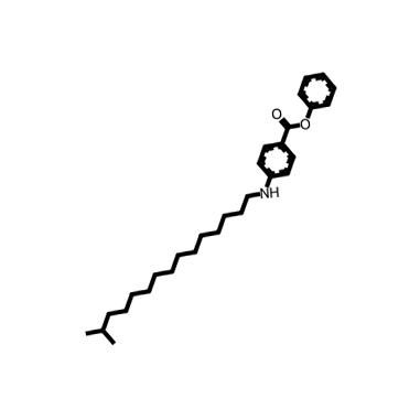 CC(C)CCCCCCCCCCCCCNc1ccc(C(=O)Oc2ccccc2)cc1